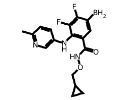 Bc1cc(C(=O)NOCC2CC2)c(Nc2ccc(C)nc2)c(F)c1F